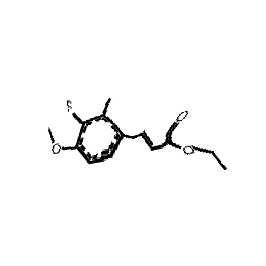 CCOC(=O)/C=C/c1ccc(OC)c(F)c1C